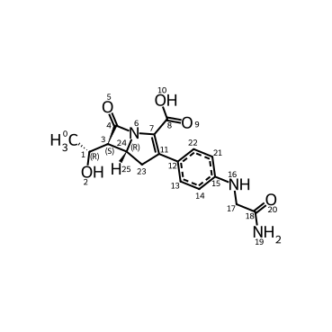 C[C@@H](O)[C@H]1C(=O)N2C(C(=O)O)=C(c3ccc(NCC(N)=O)cc3)C[C@H]12